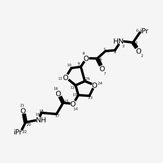 CC(C)C(=O)NCCC(=O)OC1COC2C(OC(=O)CCNC(=O)C(C)C)COC12